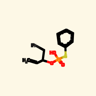 C=CC(CC(C)C)OP(=O)(O)Sc1ccccc1